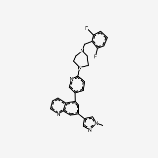 Cn1cc(-c2cc(-c3ccc(N4CCN(Cc5c(F)cccc5F)CC4)nc3)c3cccnc3c2)cn1